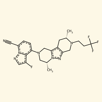 C[C@@H]1CN(c2ccc(C#N)n3ncc(F)c23)Cc2c3c(nn21)CN(CCC(F)(F)F)[C@@H](C)C3